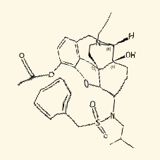 CC(=O)Oc1ccc2c3c1OC1C(N(CC(C)C)S(=O)(=O)Cc4ccccc4)CC[C@@]4(O)[C@@H](C2)N(C)CC[C@]314